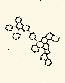 c1ccc(-c2c(-c3ccccc3)c3cc(-c4ccc(N(c5ccc6c(ccc7ccccc76)c5)c5ccccc5-c5cccc6oc7c8ccccc8ccc7c56)cc4)ccc3c3ccccc23)cc1